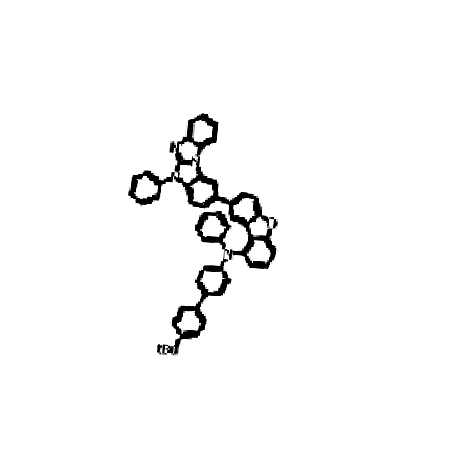 CC(C)(C)c1ccc(-c2ccc(N(c3ccccc3)c3cccc4oc5ccc(-c6ccc7c(c6)n6c8ccccc8nc6n7-c6ccccc6)cc5c34)cc2)cc1